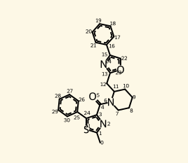 Cc1nc(C(=O)N2CCCCC2Cc2nc(-c3ccccc3)co2)c(-c2ccccc2)s1